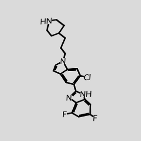 Fc1cc(F)c2nc(-c3cc4ccn(CCCC5CCNCC5)c4cc3Cl)[nH]c2c1